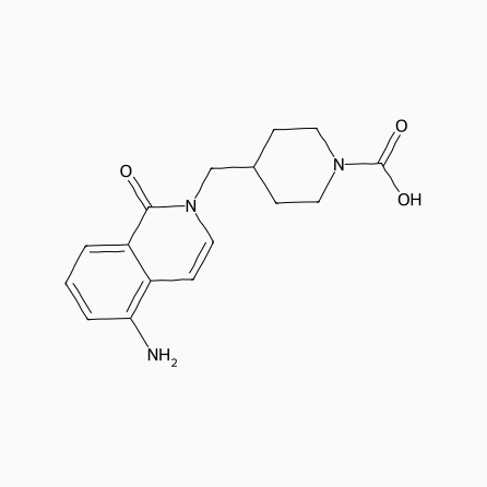 Nc1cccc2c(=O)n(CC3CCN(C(=O)O)CC3)ccc12